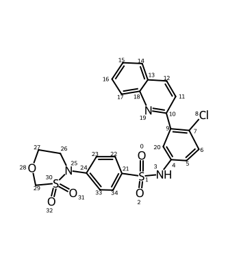 O=S(=O)(Nc1ccc(Cl)c(-c2ccc3ccccc3n2)c1)c1ccc(N2CCOCS2(=O)=O)cc1